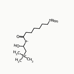 CCCCCCCCCCCCCCCC(=O)[P-]C(O)C[N+](C)(C)C